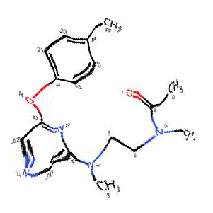 CC(=O)N(C)CCN(C)c1cncc(Oc2ccc(C)cc2)n1